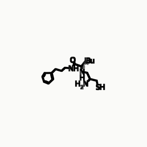 CC[C@H](C)[C@@H](NCC(N)CS)C(=O)NCCCc1ccccc1